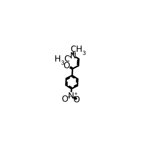 CN(C)/C=C\C(=O)c1ccc([N+](=O)[O-])cc1